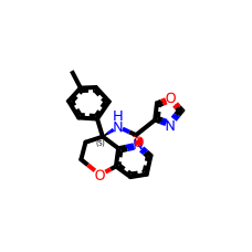 Cc1ccc([C@@]2(NC(=O)c3cocn3)CCOc3cccnc32)cc1